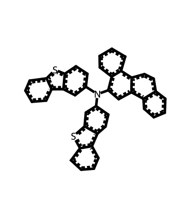 c1ccc2c(c1)ccc1c3ccccc3c(N(c3ccc4c(c3)sc3ccccc34)c3ccc4sc5ccccc5c4c3)cc21